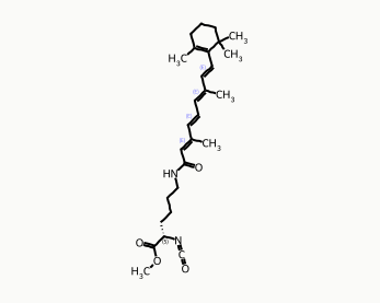 COC(=O)[C@H](CCCCNC(=O)/C=C(C)/C=C/C=C(C)/C=C/C1=C(C)CCCC1(C)C)N=C=O